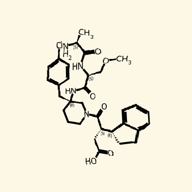 COC[C@H](NC(=O)[C@H](C)N)C(=O)N[C@@]1(Cc2ccc(Cl)cc2)CCCN(C(=O)[C@@H](CC(=O)O)[C@H]2CCc3ccccc32)C1